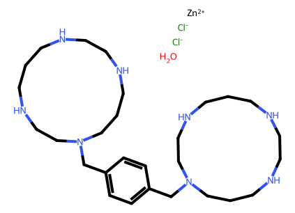 O.[Cl-].[Cl-].[Zn+2].c1cc(CN2CCCNCCNCCCNCC2)ccc1CN1CCCNCCNCCCNCC1